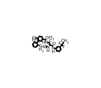 CCC(F)(F)c1cccc(NC(=O)/C(NO)=C(\C)NC(=O)c2ccc(Cl)c(-c3c(C)cccc3C)c2)c1